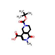 Cn1cc(C(=O)O)c2c(c1=O)CCN(C(=O)OC(C)(C)C)C2